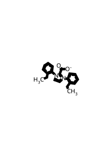 CCc1ccccc1-n1cc[n+](-c2ccccc2CC)c1C(=O)[O-]